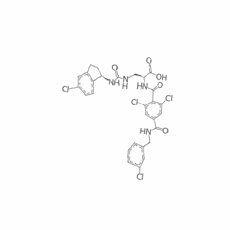 O=C(NC[C@H](NC(=O)c1c(Cl)cc(C(=O)NCc2cccc(Cl)c2)cc1Cl)C(=O)O)N[C@@H]1CCc2cc(Cl)ccc21